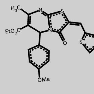 CCOC(=O)C1=C(C)N=c2s/c(=C/c3cccs3)c(=O)n2C1c1ccc(OC)cc1